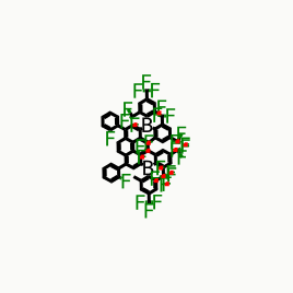 Cc1cc(C(F)(F)F)cc(C(F)(F)F)c1B(c1c(C)cc(C(F)(F)F)cc1C(F)(F)F)c1cc(-c2ccccc2F)c2ccc3c(-c4ccccc4F)cc(B(c4c(C)cc(C(F)(F)F)cc4C(F)(F)F)c4c(C(F)(F)F)cc(C(F)(F)F)cc4C(F)(F)F)c4ccc1c2c43